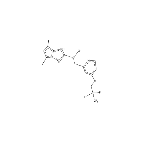 Cc1sc(C)c2[nH]c([S+]([O-])Cc3cc(OCC(F)(F)C(F)(F)F)ccn3)nc12